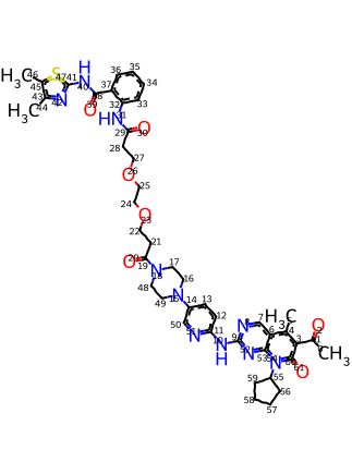 CC(=O)c1c(C)c2cnc(Nc3ccc(N4CCN(C(=O)CCOCCOCCC(=O)Nc5ccccc5C(=O)Nc5nc(C)c(C)s5)CC4)cn3)nc2n(C2CCCC2)c1=O